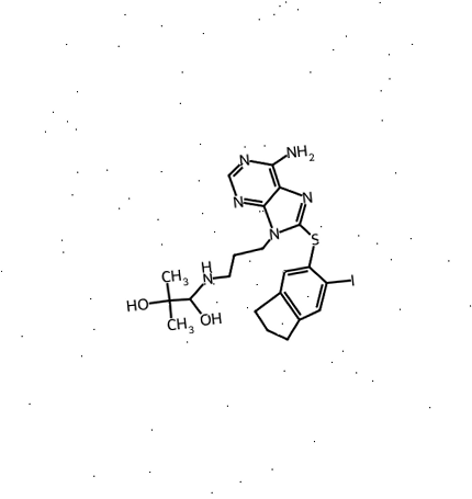 CC(C)(O)C(O)NCCCn1c(Sc2cc3c(cc2I)CCC3)nc2c(N)ncnc21